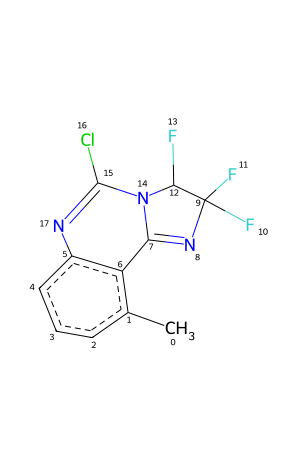 Cc1cccc2c1C1=NC(F)(F)C(F)N1C(Cl)=N2